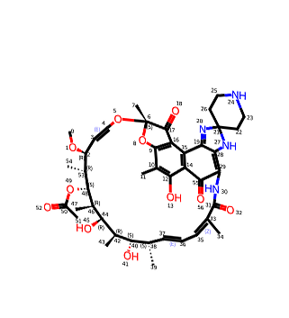 CO[C@H]1/C=C/O[C@@]2(C)Oc3c(C)c(O)c4c(c3C2=O)C2=NC3(CCNCC3)NC2=C(NC(=O)/C(C)=C\C=C\[C@H](C)[C@H](O)[C@@H](C)[C@@H](O)[C@@H](C)[C@H](OC(C)=O)[C@@H]1C)C4=O